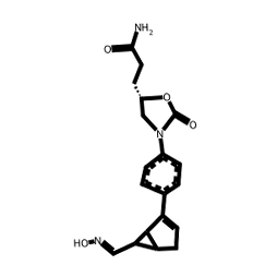 NC(=O)CC[C@H]1CN(c2ccc(C3=CCC4C(C=NO)C34)cc2)C(=O)O1